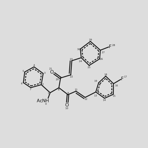 CC(=O)NC(c1ccccc1)C(C(=O)/C=C/c1ccc(F)cc1)C(=O)/C=C/c1ccc(F)cc1